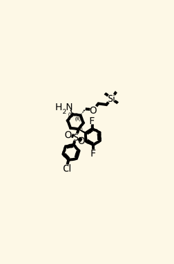 C[Si](C)(C)CCOC[C@@H]1C[C@](c2cc(F)ccc2F)(S(=O)(=O)c2ccc(Cl)cc2)CC[C@@H]1N